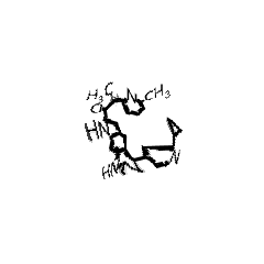 Cc1cccc([C@@H](C)C(=O)c2cc3cc4c(-c5ccnc(C6CC6)c5)n[nH]c4cc3[nH]2)n1